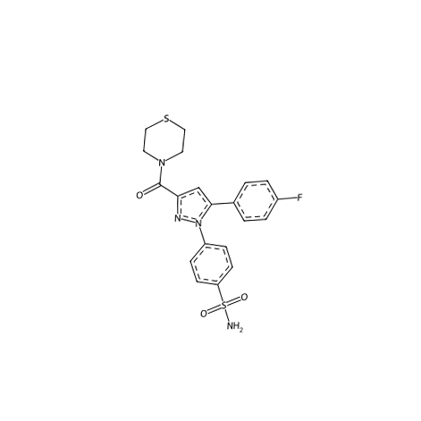 NS(=O)(=O)c1ccc(-n2nc(C(=O)N3CCSCC3)cc2-c2ccc(F)cc2)cc1